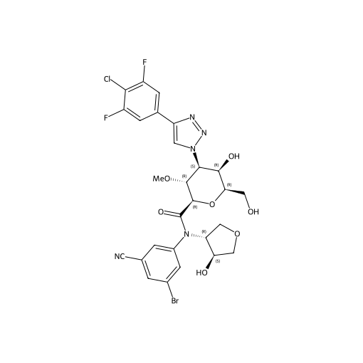 CO[C@@H]1[C@@H](n2cc(-c3cc(F)c(Cl)c(F)c3)nn2)[C@@H](O)[C@@H](CO)O[C@H]1C(=O)N(c1cc(Br)cc(C#N)c1)[C@@H]1COC[C@H]1O